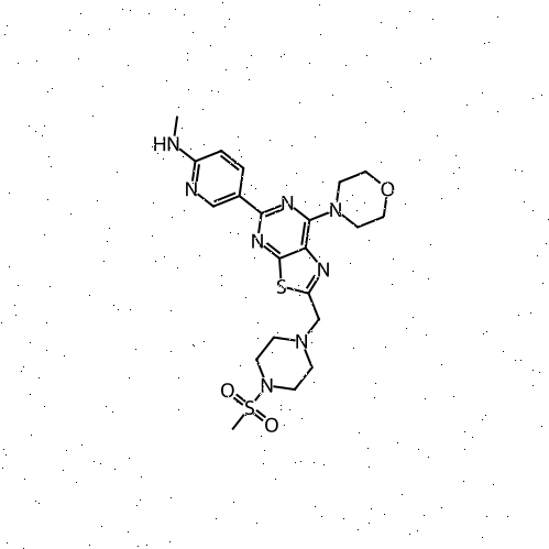 CNc1ccc(-c2nc(N3CCOCC3)c3nc(CN4CCN(S(C)(=O)=O)CC4)sc3n2)cn1